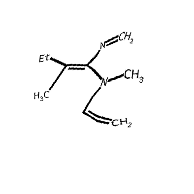 C=CN(C)/C(N=C)=C(\C)CC